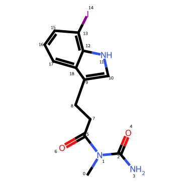 CN(C(N)=O)C(=O)CCc1c[nH]c2c(I)cccc12